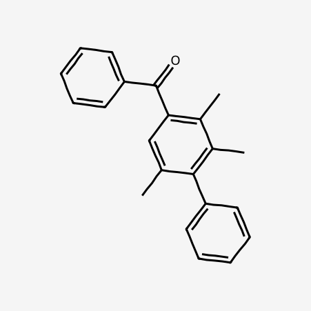 Cc1cc(C(=O)c2ccccc2)c(C)c(C)c1-c1ccccc1